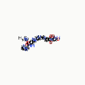 CN1CC(Oc2cc3nn(C4CCN(CC5CN(c6ccc7c(c6)C(=O)N(C6CCC(=O)NC6=O)C7=O)C5)CC4)cc3cc2NC(=O)c2cnn3cccnc23)C1